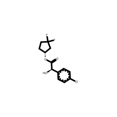 O=C(O[C@@H]1CCC(F)(F)C1)[C@H](O)c1ccc(Cl)cc1